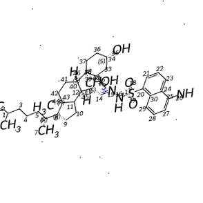 CC(C)CCC[C@@H](C)[C@H]1CCC2[C@@H]3[C@@H](/C=N/NS(=O)(=O)c4cccc5c(N)cccc45)[C@]4(O)C[C@@H](O)CC[C@]4(C)[C@H]3CC[C@@]21C